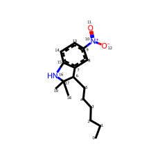 CCCCCCC1c2cc([N+](=O)[O-])ccc2NC1(C)C